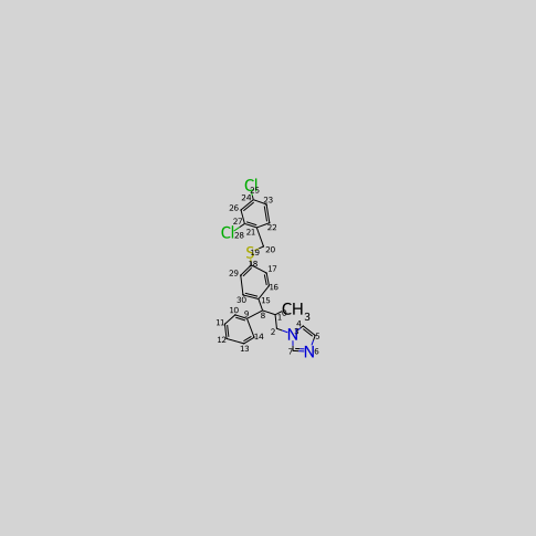 CC(Cn1ccnc1)C(c1ccccc1)c1ccc(SCc2ccc(Cl)cc2Cl)cc1